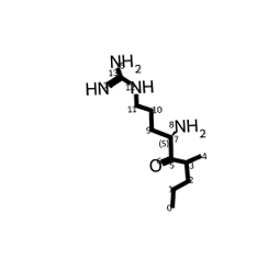 CCCC(C)C(=O)[C@@H](N)CCCNC(=N)N